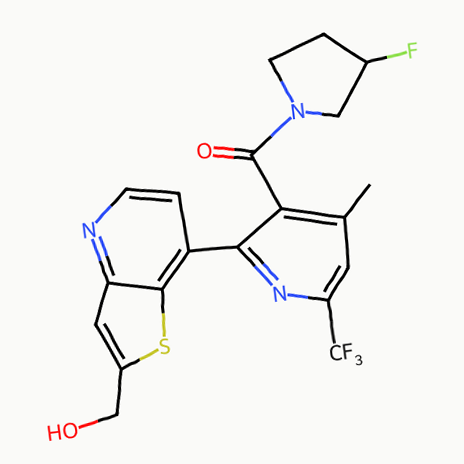 Cc1cc(C(F)(F)F)nc(-c2ccnc3cc(CO)sc23)c1C(=O)N1CCC(F)C1